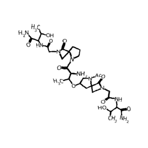 CC(=O)N1CC(OC(C)C(N)C(=O)N2CCCC23CN(CC(=O)NC(C(N)=O)C(C)O)C3=O)CC12CN(CC(=O)NC(C(N)=O)C(C)O)C2=O